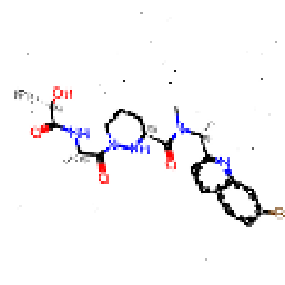 CC(C)[C@H](O)C(=O)N[C@@H](C)C(=O)N1CCC[C@@H](C(=O)N(C)[C@H](C)c2ccc3ccc(Br)cc3n2)N1